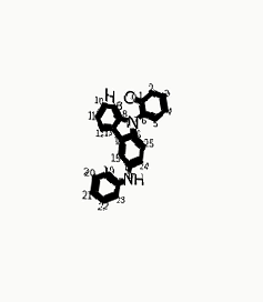 CC1CC=CC=C1n1c2ccccc2c2cc(Nc3ccccc3)ccc21